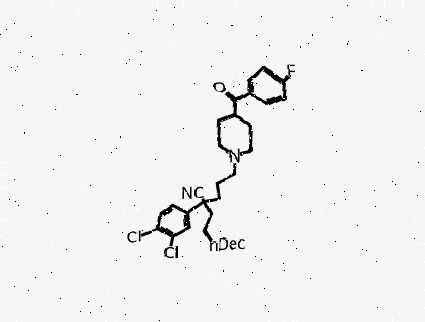 CCCCCCCCCCCCC(C#N)(CCCN1CCC(C(=O)c2ccc(F)cc2)CC1)c1ccc(Cl)c(Cl)c1